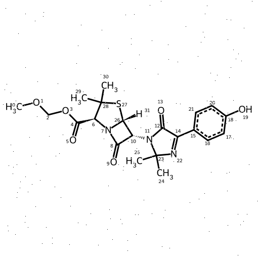 COCOC(=O)[C@@H]1N2C(=O)[C@@H](N3C(=O)C(c4ccc(O)cc4)=NC3(C)C)[C@H]2SC1(C)C